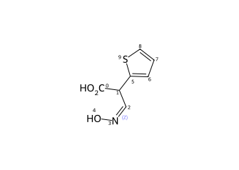 O=C(O)C(/C=N\O)c1cccs1